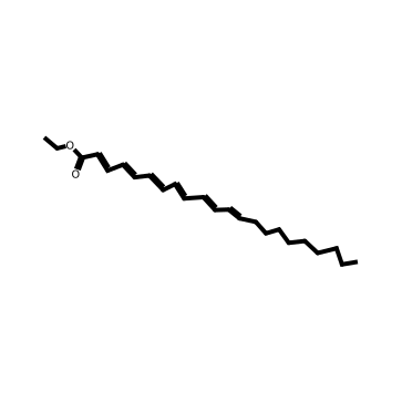 CCCCCCCCCC=CC=CC=CC=CC=CC=CC(=O)OCC